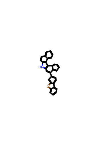 c1ccc2c(c1)ccc1[nH]c3cc(-c4ccc5c(c4)sc4ccccc45)c4ccccc4c3c12